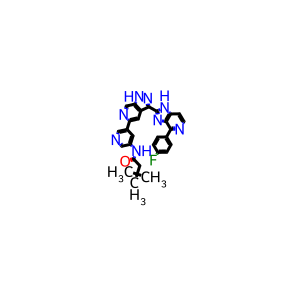 CC(C)(C)CC(=O)Nc1cncc(-c2cc3c(-c4nc5c(-c6ccc(F)cc6)nccc5[nH]4)n[nH]c3cn2)c1